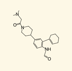 CN(C)CC(=O)N1CCC(c2ccc(NC=O)c(C3=CCCCC3)c2)CC1